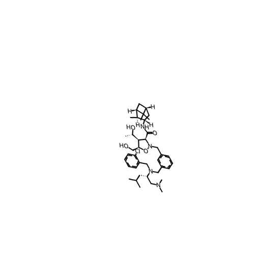 CC(C)C[C@@H](CN(C)C)N(Cc1cccc(CN2O[C@@H](CO)[C@@H]([C@H](C)O)[C@H]2C(=O)N[C@H]2C[C@H]3C[C@@H]([C@@H]2C)C3(C)C)c1)Cc1ccccc1Cl